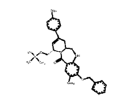 COc1ccc(C2=C[C@@H](CO[Si](C)(C)C(C)(C)C)N3C(=O)c4cc(OC)c(OCc5ccccc5)cc4NCC3C2)cc1